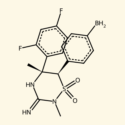 Bc1ccc([C@@H]2[C@@](C)(c3ccc(F)cc3F)NC(=N)N(C)S2(=O)=O)cc1